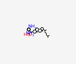 CC(C)CCCC(C)C1CCC2C3CC=C4CC(C(OO)c5cc(N)ccc5N)CCC4(C)C3CCC12C